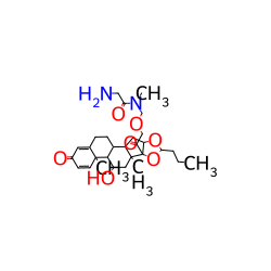 CCCC1OC2CC3C4CCC5=CC(=O)C=CC5(C)C4C(O)CC3(C)C2(C(=O)COCN(C)C(=O)CN)O1